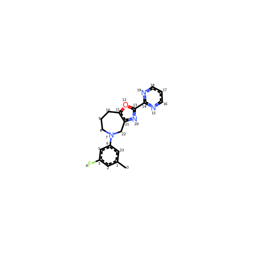 Cc1cc(F)cc(N2CCCc3oc(-c4ncccn4)nc3C2)c1